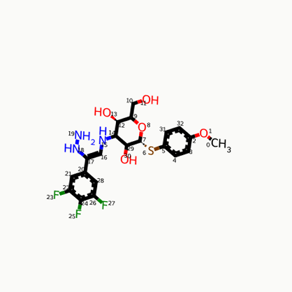 COc1ccc(S[C@H]2OC(CO)[C@H](O)C(N/C=C(\NN)c3cc(F)c(F)c(F)c3)C2O)cc1